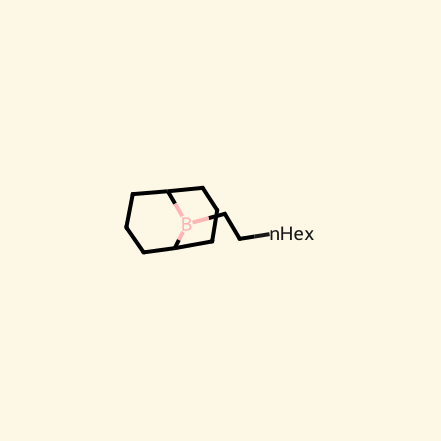 CCCCCCCCB1C2CCCC1CCC2